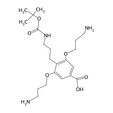 CC(C)(C)OC(=O)NCCCc1c(OCCCN)cc(C(=O)O)cc1OCCCN